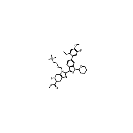 CCc1cc(OC)c(F)cc1-c1ccc2c(-c3nc4c(n3COCC[Si](C)(C)C)CNC(C(=O)OC)C4)nn(C3CCCCO3)c2c1